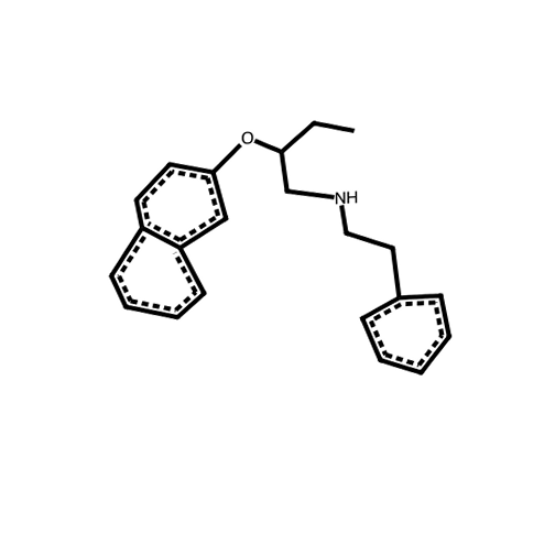 CCC(CNCCc1ccccc1)Oc1ccc2ccccc2c1